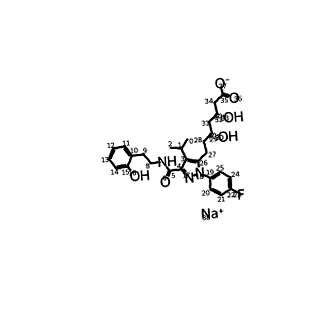 CC(C)c1c(C(=O)NCCc2ccccc2O)nn(-c2ccc(F)cc2)c1CC[C@@H](O)C[C@@H](O)CC(=O)[O-].[Na+]